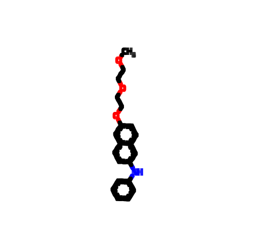 COCCOCCOc1ccc2cc(Nc3ccccc3)ccc2c1